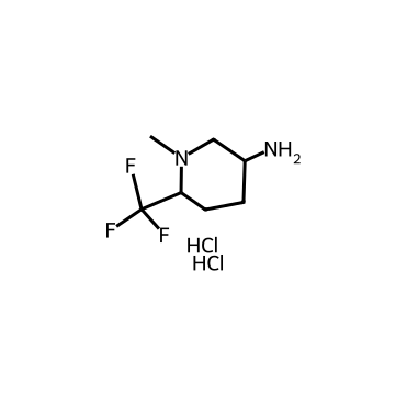 CN1CC(N)CCC1C(F)(F)F.Cl.Cl